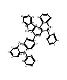 c1ccc(-c2nc3ccccc3c3c2cc(-c2ccc4c(c2)Oc2ccccc2N4c2ccccc2)c2sc4ccccc4c23)cc1